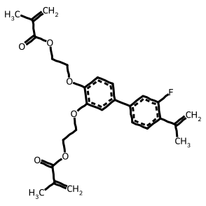 C=C(C)C(=O)OCCOc1ccc(-c2ccc(C(=C)C)c(F)c2)cc1OCCOC(=O)C(=C)C